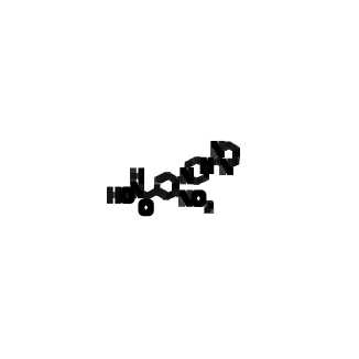 O=C(NO)c1ccc(N2CCN(c3ncccn3)CC2)c([N+](=O)[O-])c1